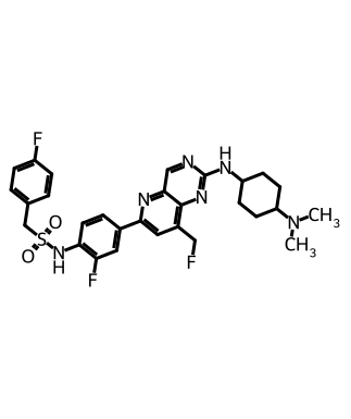 CN(C)C1CCC(Nc2ncc3nc(-c4ccc(NS(=O)(=O)Cc5ccc(F)cc5)c(F)c4)cc(CF)c3n2)CC1